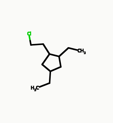 CCC1CC(CC)C(CCCl)C1